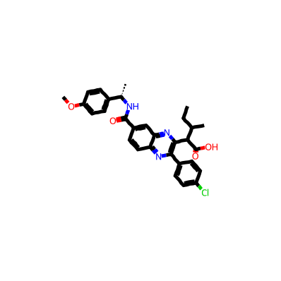 CCC(C)C(C(=O)O)c1nc2cc(C(=O)N[C@@H](C)c3ccc(OC)cc3)ccc2nc1-c1ccc(Cl)cc1